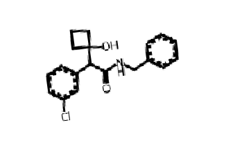 O=C(NCc1ccccc1)C(c1cccc(Cl)c1)C1(O)CCC1